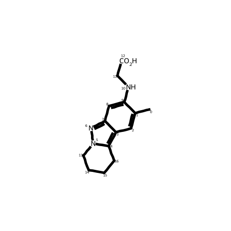 Cc1cc2c3n(nc2cc1NCC(=O)O)CCCC3